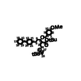 COc1ccc(COC(CCc2ccc(-c3ccccc3)cc2)C(CCO[Si](C)(C)C(C)(C)C)C(=O)OC(C)(C)C)cc1